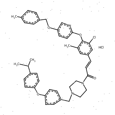 Cc1ccc(COc2ccc(Oc3c(C)cc(C=CC(=O)N4CCN(Cc5ccc(Oc6ccc(C(C)C)cc6)cc5)CC4)cc3Cl)nc2)cc1.Cl